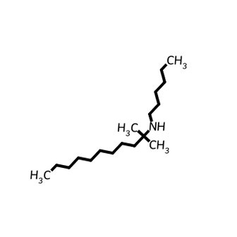 CCCCCCCCCC(C)(C)NCCCCCC